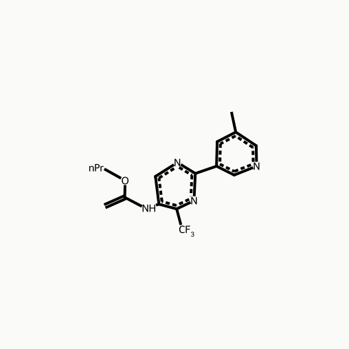 C=C(Nc1cnc(-c2cncc(C)c2)nc1C(F)(F)F)OCCC